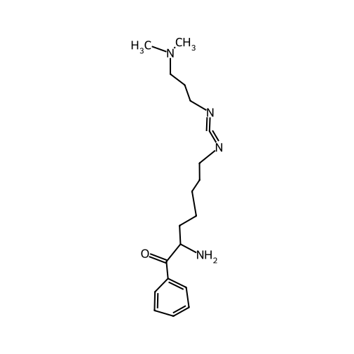 CN(C)CCCN=C=NCCCCCC(N)C(=O)c1ccccc1